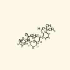 CC(C)(C)c1cccc(-c2ccc3c(c2)CCC[C@@H]3N(C(=O)O)C2CN3CCC2CC3)c1